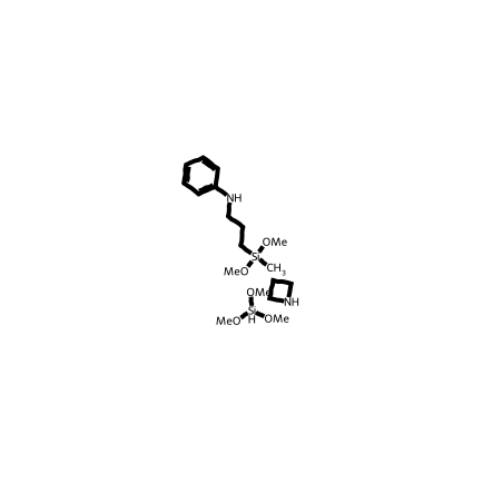 C1CNC1.CO[SiH](OC)OC.CO[Si](C)(CCCNc1ccccc1)OC